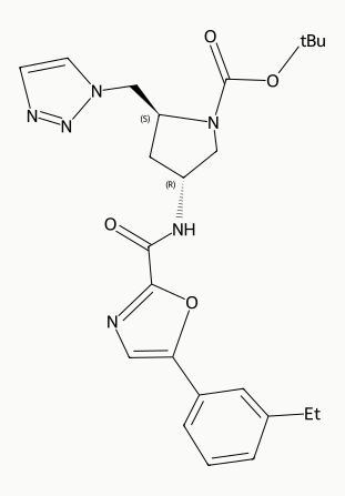 CCc1cccc(-c2cnc(C(=O)N[C@@H]3C[C@@H](Cn4ccnn4)N(C(=O)OC(C)(C)C)C3)o2)c1